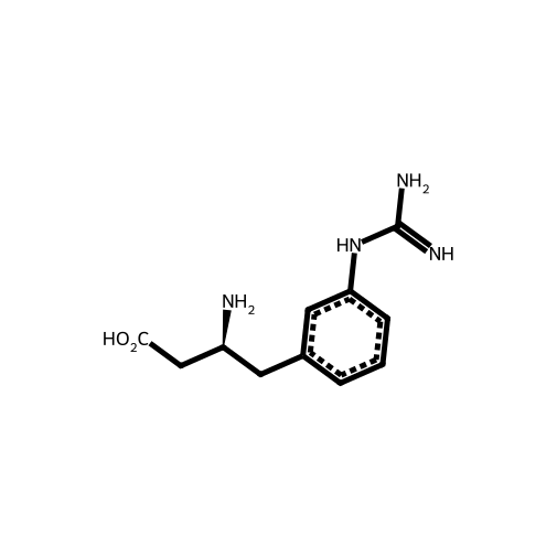 N=C(N)Nc1cccc(C[C@H](N)CC(=O)O)c1